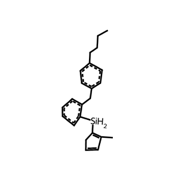 CCCCc1ccc(Cc2ccccc2[SiH2]C2=C(C)C=CC2)cc1